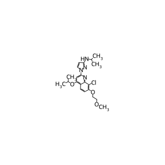 COCCOc1ccc2c(OC(C)C)cc(-n3ccc(NC(C)C)n3)nc2c1Cl